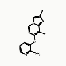 Cc1cn2ccc(Sc3cccnc3N)c(Cl)c2n1